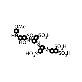 COc1ccc(Nc2ccc3c(O)c(N=Nc4ccc(N=Nc5ccc(N=Nc6ccc7cc(S(=O)(=O)O)cc(S(=O)(=O)O)c7c6)c6ccc(S(=O)(=O)O)cc56)c5cc(S(=O)(=O)O)ccc45)c(S(=O)(=O)O)cc3c2)cc1